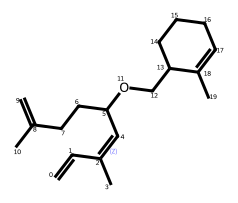 C=C/C(C)=C\C(CCC(=C)C)OCC1CCCC=C1C